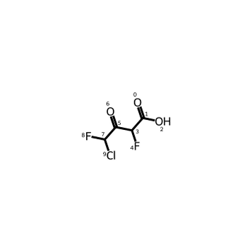 O=C(O)C(F)C(=O)C(F)Cl